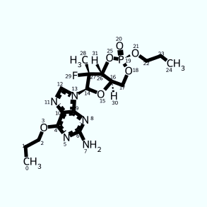 CCCOc1nc(N)nc2c1ncn2[C@@H]1O[C@@H]2CO[P@@](=O)(OCCC)O[C@H]2[C@@]1(C)F